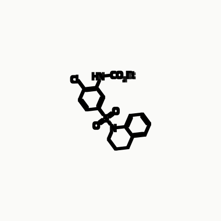 CCOC(=O)Nc1cc(S(=O)(=O)N2CCCc3ccccc32)ccc1Cl